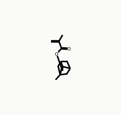 C=C(C)C(=O)OC1=C2C3CC2CC(C)(C1)C3